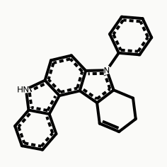 C1=Cc2c(n(-c3ccccc3)c3ccc4[nH]c5ccccc5c4c23)CC1